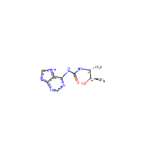 C[C@@H](O)[C@H](NC(=O)Nc1ncnc2nc[nH]c12)C(=O)O